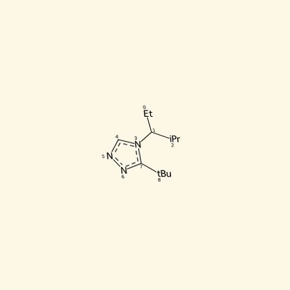 CCC(C(C)C)n1cnnc1C(C)(C)C